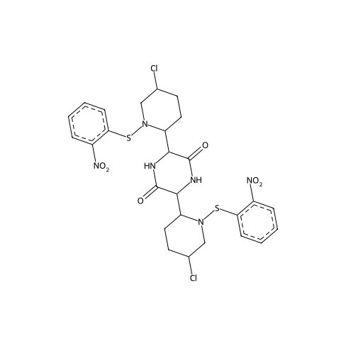 O=C1NC(C2CCC(Cl)CN2Sc2ccccc2[N+](=O)[O-])C(=O)NC1C1CCC(Cl)CN1Sc1ccccc1[N+](=O)[O-]